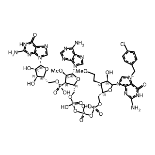 COCC[C@@H]1[C@@H](COP(=O)(O)OP(=O)(O)OP(=O)(O)OC[C@H]2O[C@@H](n3cnc4c(N)ncnc43)[C@H](OC)[C@@H]2P(=O)(O)OC[C@H]2O[C@@H](n3cnc4c(=O)[nH]c(N)nc43)[C@H](O)[C@@H]2O)OC(n2c[n+](Cc3ccc(Cl)cc3)c3c(=O)[nH]c(N)nc32)[C@@H]1O